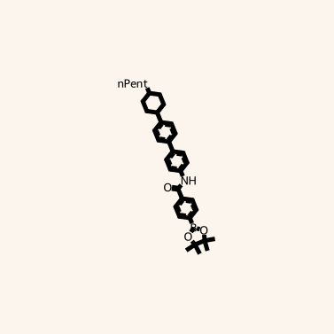 CCCCCC1CCC(c2ccc(-c3ccc(NC(=O)c4ccc(B5OC(C)(C)C(C)(C)O5)cc4)cc3)cc2)CC1